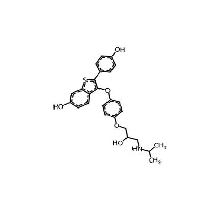 CC(C)NCC(O)COc1ccc(Oc2c(-c3ccc(O)cc3)sc3cc(O)ccc23)cc1